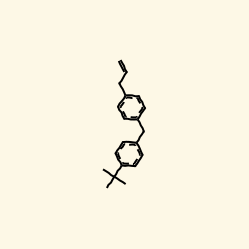 C=CCc1ccc(Cc2ccc(C(C)(C)C)cc2)cc1